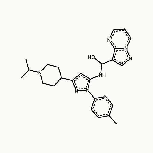 Cc1ccc(-n2nc(C3CCN(C(C)C)CC3)cc2NC(O)c2cnn3cccnc23)nc1